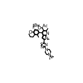 CC(=O)[C@@H](OC(C)(C)C)c1c(C)nc2c(cc(-c3nc(N4CCN(N(C)C)CC4)ns3)n2C)c1-c1cc(F)c2c(c1C)CCCO2